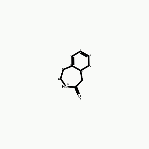 O=C1CC2CC=CC=C2CCN1